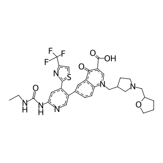 CCNC(=O)Nc1cc(-c2nc(C(F)(F)F)cs2)c(-c2ccc3c(c2)c(=O)c(C(=O)O)cn3CC2CCN(CC3CCCO3)C2)cn1